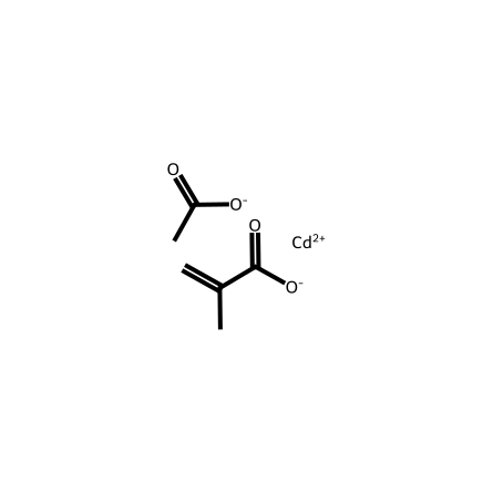 C=C(C)C(=O)[O-].CC(=O)[O-].[Cd+2]